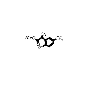 COC(=O)C(C#N)c1cc(C(F)(F)F)ccc1Br